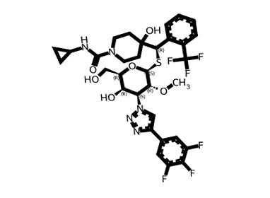 CO[C@@H]1[C@@H](n2cc(-c3cc(F)c(F)c(F)c3)nn2)[C@@H](O)[C@@H](CO)O[C@H]1S[C@H](c1ccccc1C(F)(F)F)C1(O)CCN(C(=O)NC2CC2)CC1